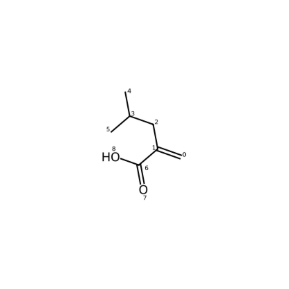 C=C(CC(C)C)C(=O)O